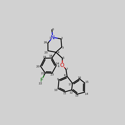 CN1CCC(COCc2cccc3ccccc23)(c2ccc(F)cc2)CC1